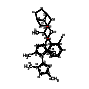 Cc1nc(-n2c(C)nn(CC(O)CN3C4CCC3CC(OCc3ccccc3F)C4)c2=O)n(C)n1